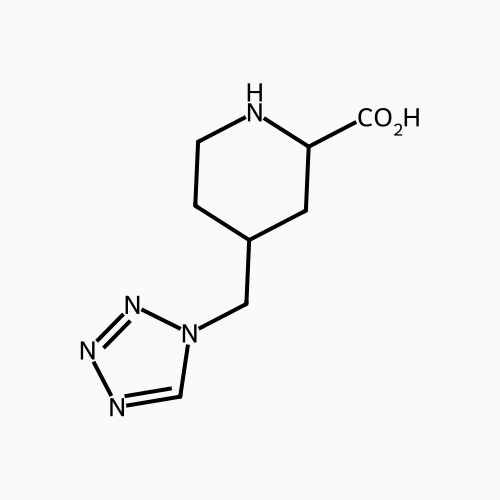 O=C(O)C1CC(Cn2cnnn2)CCN1